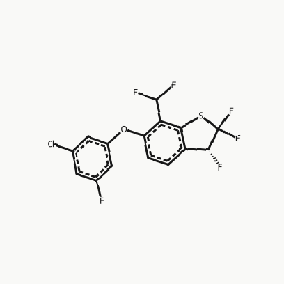 Fc1cc(Cl)cc(Oc2ccc3c(c2C(F)F)SC(F)(F)[C@@H]3F)c1